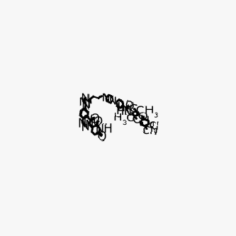 CC1(C)[C@H](NC(=O)c2ccc(N3CCN(CCCc4cn(-c5ccc6nnn(C7CCC(=O)NC7=O)c(=O)c6c5)nn4)CC3)cc2)C(C)(C)[C@H]1Oc1ccc(C#N)c(Cl)c1